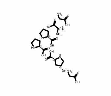 C[C@H](N)C(=O)O.NCC(=O)O.NCC(=O)O.O=C(O)[C@@H]1CCCN1.O=C(O)[C@@H]1CCCN1.O=C(O)[C@@H]1C[C@@H](O)CN1